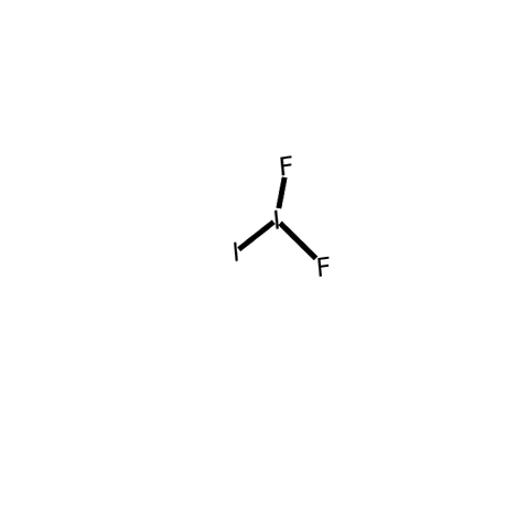 FI(F)I